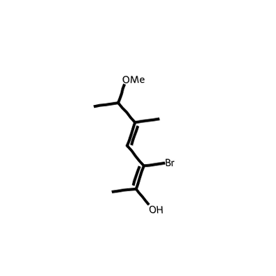 COC(C)/C(C)=C/C(Br)=C(\C)O